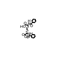 O=C(N[C@@H](CSSC[C@H](NC(=O)c1ccccc1)C(=O)O)C(=O)O)c1ccccc1